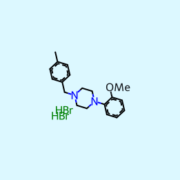 Br.Br.COc1ccccc1N1CCN(Cc2ccc(C)cc2)CC1